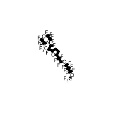 FC(OC(F)(F)C(F)(F)C(F)(F)OC(F)(F)F)C(F)(F)C1CCC(C(F)(C(F)N2C(F)(F)C(F)(F)OC(F)(F)C2(F)F)C(F)(F)F)O1